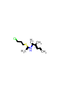 C=C/C=C(\C)C(=C)NC(=C)SCCCCl